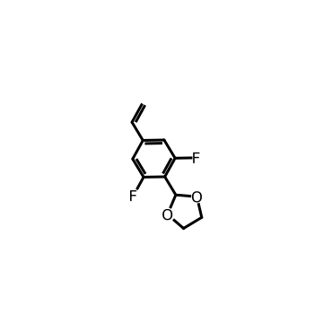 C=Cc1cc(F)c(C2OCCO2)c(F)c1